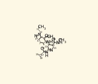 CCCn1ncc2ccc(Nc3cc(NC(=O)C4CC4)ncc3C(=O)NC)c(OC)c21